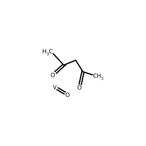 CC(=O)CC(C)=O.[O]=[V]